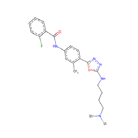 CCN(CC)CCCCNc1nnc(-c2ccc(NC(=O)c3ccccc3F)cc2C(F)(F)F)o1